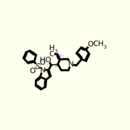 C/C=C1/CN(Cc2ccc(OC)cc2)CC[C@H]1C(O)c1cc2ccccc2n1S(=O)(=O)c1ccccc1